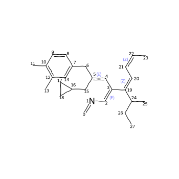 C=N/C=C(\C=C(\Cc1ccc(C)c(C)c1)CC1CC1)C(=C\C=C/C)/C(C)CC